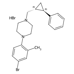 Br.Cc1cc(Br)ccc1N1CCN(C[C@@H]2C[C@H]2c2ccccc2)CC1